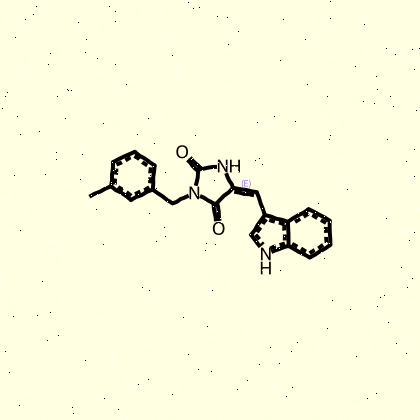 Cc1cccc(CN2C(=O)N/C(=C/c3c[nH]c4ccccc34)C2=O)c1